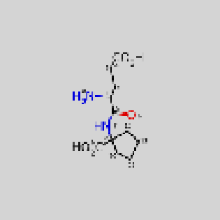 N[C@@H](CCC(=O)O)C(=O)NC1(C(=O)O)CCCC1